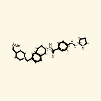 COCC1CCN(Cc2ccc3c(c2)CC[C@H](NC(=O)c2ccc(OC[C@@H]4CCCO4)cc2)C3)CC1